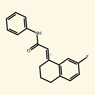 O=C(/C=C1\CCCc2ccc(F)cc21)Nc1ccccc1